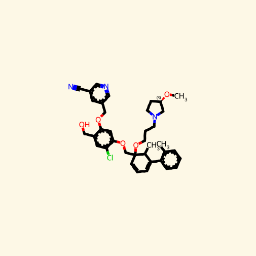 CO[C@@H]1CCN(CCCOC2(COc3cc(OCc4cncc(C#N)c4)c(CO)cc3Cl)C=CC=C(c3ccccc3C)C2C)C1